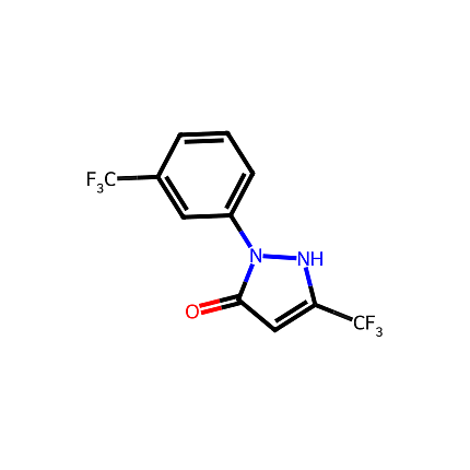 O=c1cc(C(F)(F)F)[nH]n1-c1cccc(C(F)(F)F)c1